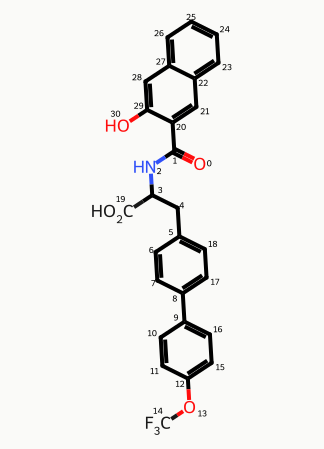 O=C(NC(Cc1ccc(-c2ccc(OC(F)(F)F)cc2)cc1)C(=O)O)c1cc2ccccc2cc1O